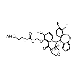 COCCOC(=O)OCOC1=C2C(=O)N3CCOC[C@H]3N([C@@H]3c4ccccc4SCc4c3ccc(F)c4F)N2C=CC1O